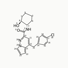 O=C(N[C@H]1CCCC[C@@H]1O)c1cc(Cc2ccc(Cl)cc2)c2cccn2n1